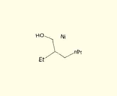 CCCCC(CC)CO.[Ni]